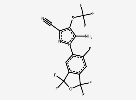 N#Cc1nn(-c2cc3c(cc2F)C(F)(F)OC3(F)F)c(N)c1SC(F)(F)F